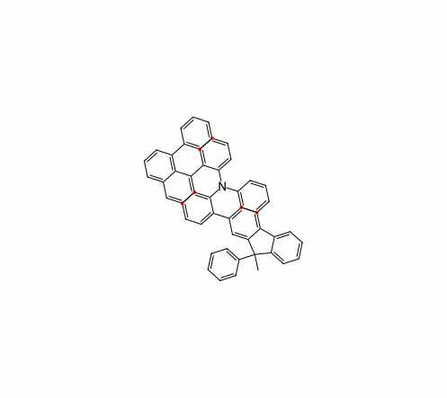 CC1(c2ccccc2)c2ccccc2-c2ccc(-c3ccccc3N(c3ccccc3)c3ccccc3-c3cccc4cccc(-c5ccccc5)c34)cc21